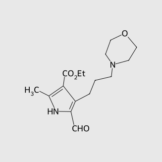 CCOC(=O)c1c(C)[nH]c(C=O)c1CCCN1CCOCC1